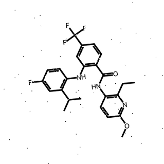 CCc1nc(OC)ccc1NC(=O)c1ccc(C(F)(F)F)cc1Nc1ccc(F)cc1C(C)C